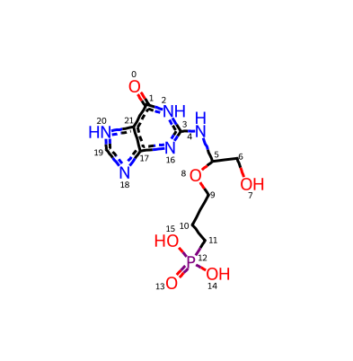 O=c1[nH]c(NC(CO)OCCCP(=O)(O)O)nc2nc[nH]c12